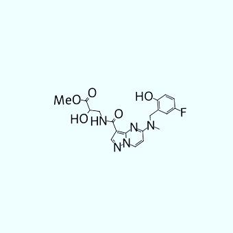 COC(=O)C(O)CNC(=O)c1cnn2ccc(N(C)Cc3cc(F)ccc3O)nc12